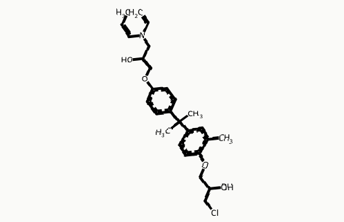 C=CN(/C=C\C)CC(O)COc1ccc(C(C)(C)c2ccc(OCC(O)CCl)c(C)c2)cc1